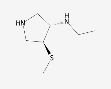 CCN[C@H]1CNC[C@@H]1SC